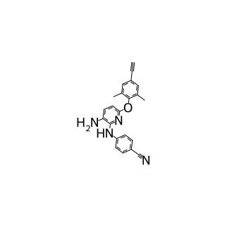 C#Cc1cc(C)c(Oc2ccc(N)c(Nc3ccc(C#N)cc3)n2)c(C)c1